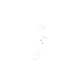 O=C(NCCc1ccc2c(n1)NCCC2)Nc1ccc(-c2ccccc2)cc1